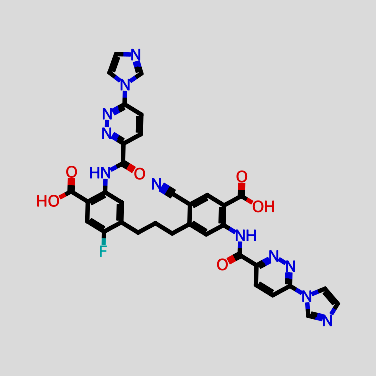 N#Cc1cc(C(=O)O)c(NC(=O)c2ccc(-n3ccnc3)nn2)cc1CCCc1cc(NC(=O)c2ccc(-n3ccnc3)nn2)c(C(=O)O)cc1F